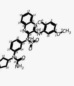 COc1ccc(Cl)c(Nc2nc3ccccc3nc2N(c2cccc(N(C(N)=O)C3CCCC3)c2)[SH](=O)=O)c1